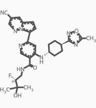 Cc1nc([C@H]2CC[C@H](Nc3cc(-c4ccc5cc(C#N)cnn45)ncc3C(=O)NC[C@@H](F)C(C)(C)O)CC2)no1